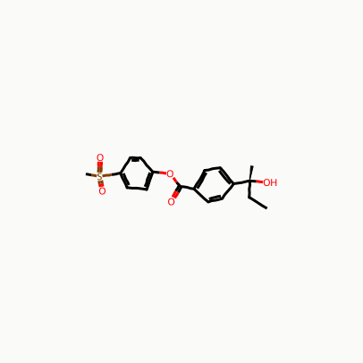 CC[C@@](C)(O)c1ccc(C(=O)Oc2ccc(S(C)(=O)=O)cc2)cc1